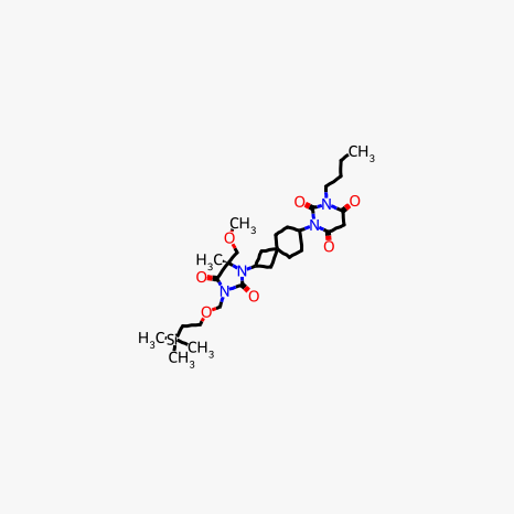 CCCCN1C(=O)CC(=O)N(C2CCC3(CC2)CC(N2C(=O)N(COCC[Si](C)(C)C)C(=O)[C@@]2(C)COC)C3)C1=O